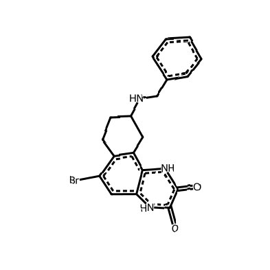 O=c1[nH]c2cc(Br)c3c(c2[nH]c1=O)CC(NCc1ccccc1)CC3